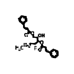 CON=C[C@@H](F)[C@H](OC(=O)C=Cc1ccccc1)[C@H](O)COC(=O)C=Cc1ccccc1